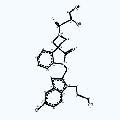 N#CCCCn1c(CN2C(=O)C3(CN(C(=O)C(O)CO)C3)c3ccccc32)cc2cc(Cl)ccc21